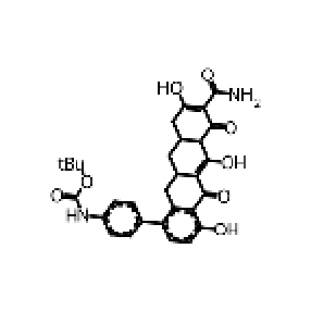 CC(C)(C)OC(=O)Nc1ccc(-c2ccc(O)c3c2CC2CC4CC(O)=C(C(N)=O)C(=O)C4C(O)=C2C3=O)cc1